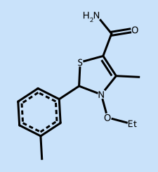 CCON1C(C)=C(C(N)=O)SC1c1cccc(C)c1